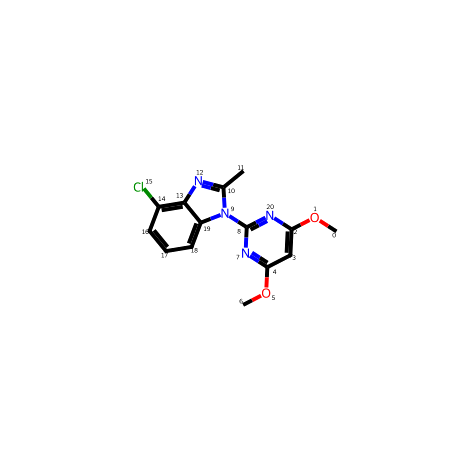 COc1cc(OC)nc(-n2c(C)nc3c(Cl)cccc32)n1